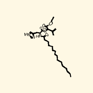 CCCCCCCCCCCCCCCC(=O)NC(Cc1c[nH]cn1)C(=O)NC(C(=O)OCC)C(C)C